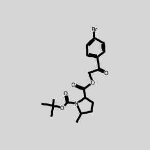 CC1CCC(C(=O)OCC(=O)c2ccc(Br)cc2)N1C(=O)OC(C)(C)C